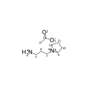 CC(=O)[O-].NCCC[N+]1=CCCC1